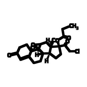 CCC(=O)O[C@@]1(C(=O)CCl)CC[C@H]2[C@@H]3CCC4=CC(=O)CC[C@]4(C)C34OC4C[C@@]21C